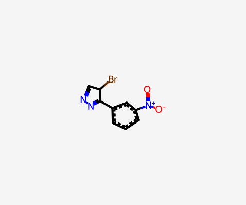 O=[N+]([O-])c1cccc(C2=NN=CC2Br)c1